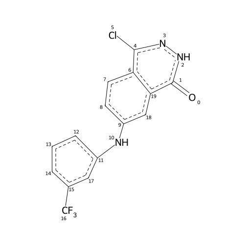 O=c1[nH]nc(Cl)c2ccc(Nc3cccc(C(F)(F)F)c3)cc12